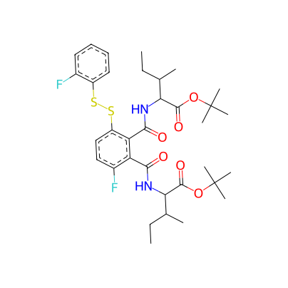 CCC(C)C(NC(=O)c1c(F)ccc(SSc2ccccc2F)c1C(=O)NC(C(=O)OC(C)(C)C)C(C)CC)C(=O)OC(C)(C)C